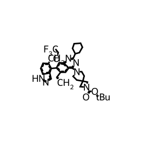 C=Cc1cc2c(N3CCC4(CC3)CN(C(=O)OC(C)(C)C)C4)nc(C3CCCCC3)nc2c(OCC(F)(F)F)c1-c1c(C)ccc2[nH]ncc12